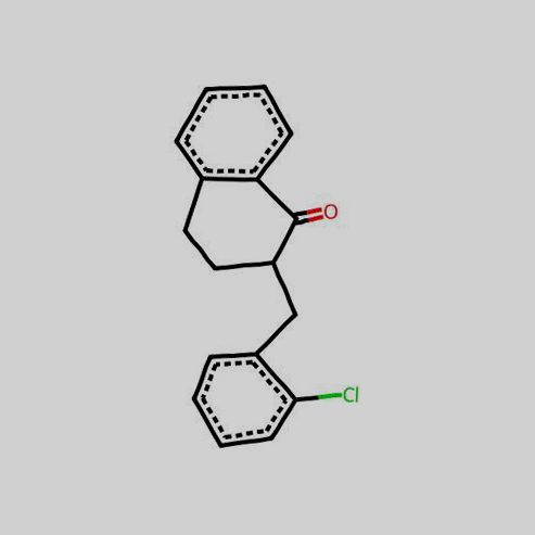 O=C1c2ccccc2CCC1Cc1ccccc1Cl